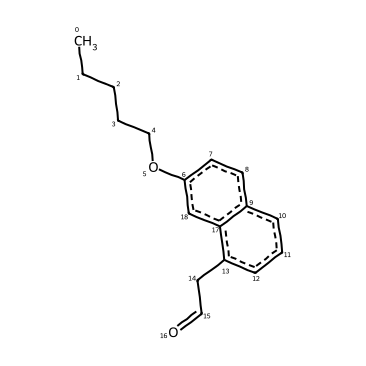 CCCCCOc1ccc2cccc(CC=O)c2c1